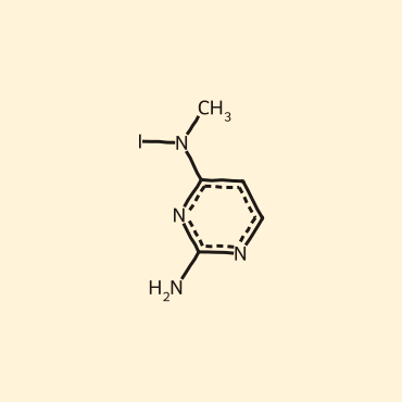 CN(I)c1ccnc(N)n1